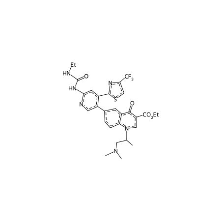 CCNC(=O)Nc1cc(-c2nc(C(F)(F)F)cs2)c(-c2ccc3c(c2)c(=O)c(C(=O)OCC)cn3C(C)CN(C)C)cn1